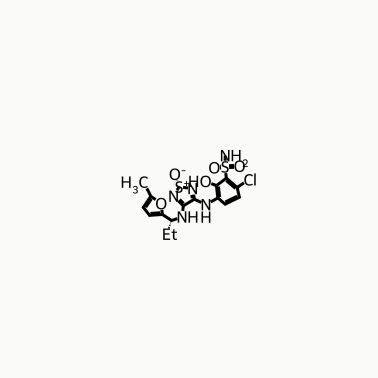 CC[C@@H](Nc1n[s+]([O-])nc1Nc1ccc(Cl)c(S(N)(=O)=O)c1O)c1ccc(C)o1